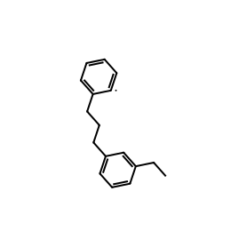 CCc1cccc(CCCc2[c]cccc2)c1